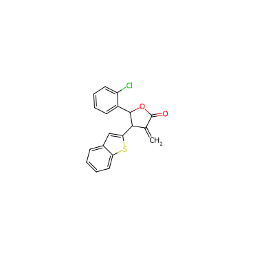 C=C1C(=O)OC(c2ccccc2Cl)C1c1cc2ccccc2s1